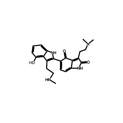 CNCCc1c(C2=CC=C3NC(=O)C(CCN(C)C)=C3C2=O)[nH]c2cccc(O)c12